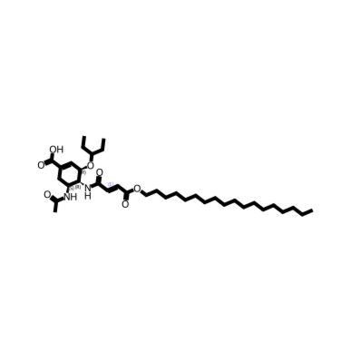 CCCCCCCCCCCCCCCCCCOC(=O)/C=C/C(=O)N[C@@H]1[C@@H](NC(C)=O)CC(C(=O)O)=C[C@H]1OC(CC)CC